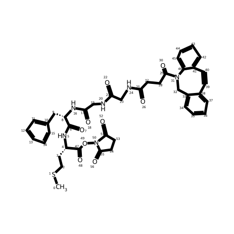 CSCC[C@H](NC(=O)[C@H](Cc1ccccc1)NC(=O)CNC(=O)CNC(=O)CCC(=O)N1Cc2ccccc2C#Cc2ccccc21)C(=O)ON1C(=O)CCC1=O